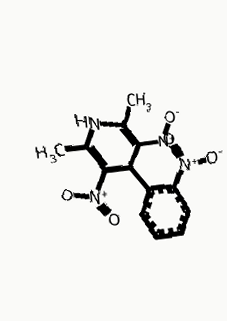 CC1=C([N+](=O)[O-])C(c2ccccc2[N+](=O)[O-])C([N+](=O)[O-])=C(C)N1